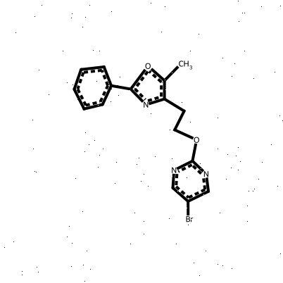 Cc1oc(-c2ccccc2)nc1CCOc1ncc(Br)cn1